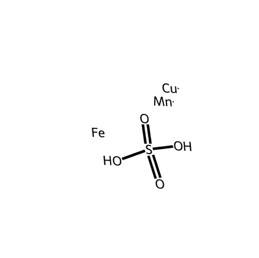 O=S(=O)(O)O.[Cu].[Fe].[Mn]